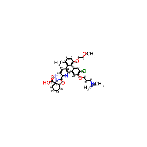 COCCOc1ccc(C)c(-c2ccc(C(=O)NC3(C(=O)O)CCCCC3)nc2-c2ccc(Cl)c(OCCCN(C)C)c2)c1